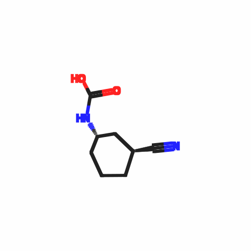 N#C[C@H]1CCC[C@H](NC(=O)O)C1